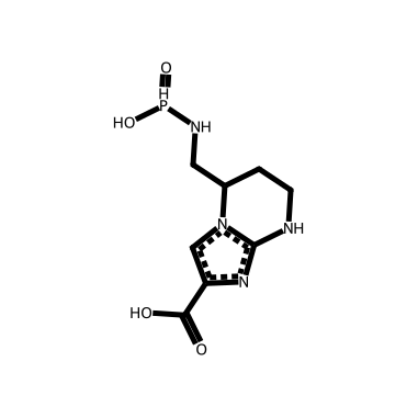 O=C(O)c1cn2c(n1)NCCC2CN[PH](=O)O